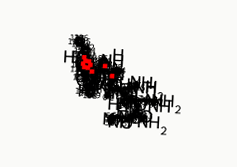 CC(C)C[C@H](NC(=O)[C@@H](CCCNC(=N)N)NC(=O)[C@@H]1CCCN1C(=O)[C@H](CCCCNC(=N)N)NC(=O)[C@H](CCC(N)=O)NC(=O)C(C)(C)C(=O)NCCc1cnc[nH]1)C(=O)NC(C)(C)C(=O)N[C@@H](Cc1cnc[nH]1)C(=O)N[C@@H](CC1CCNCC1)C(=O)NCC(=O)N1[C@H](C(=O)N[C@@H](Cc2ccc(Br)cc2)C(=O)N2CCC[C@H]2C(=O)N(C)[C@H](Cc2ccc(-c3ccccc3)cc2)C(=O)O)C[C@@H]2CCCC[C@@H]21